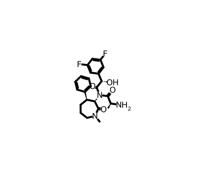 C[C@H](N)C(=O)N(C(=O)[C@@H](O)c1cc(F)cc(F)c1)[C@@H]1C(=O)N(C)CCC[C@H]1c1ccccc1